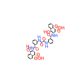 O=C(Nc1cccc(C(=O)Nc2cc(S(=O)(=O)O)c3ccccc3c2O)c1)C(=O)Nc1cccc(C(=O)Nc2cc(S(=O)(=O)O)c3ccccc3c2O)c1